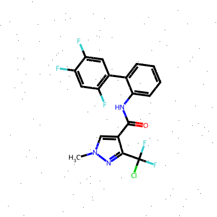 Cn1cc(C(=O)Nc2ccccc2-c2cc(F)c(F)cc2F)c(C(F)(F)Cl)n1